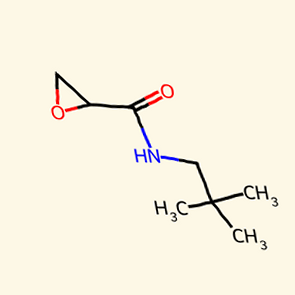 CC(C)(C)CNC(=O)C1CO1